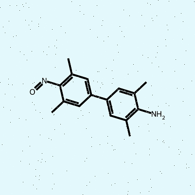 Cc1cc(-c2cc(C)c(N=O)c(C)c2)cc(C)c1N